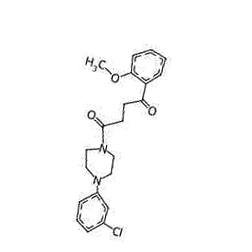 COc1ccccc1C(=O)CCC(=O)N1CCN(c2cccc(Cl)c2)CC1